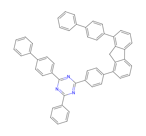 c1ccc(-c2ccc(-c3nc(-c4ccccc4)nc(-c4ccc(-c5cccc6c5Cc5c(-c7ccc(-c8ccccc8)cc7)cccc5-6)cc4)n3)cc2)cc1